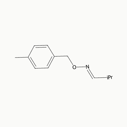 Cc1ccc(CON=CC(C)C)cc1